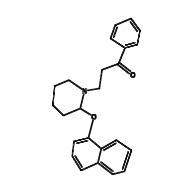 O=C(CCN1CCCCC1Oc1cccc2ccccc12)c1ccccc1